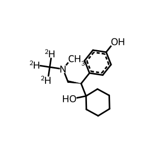 [2H]C([2H])([2H])N(C)C[C@@H](c1ccc(O)cc1)C1(O)CCCCC1